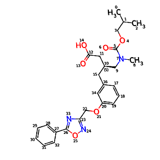 CC(C)COC(=O)N(C)C[C@H](CC(=O)O)Cc1cccc(OCc2noc(-c3ccccc3)n2)c1